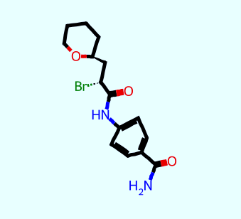 NC(=O)c1ccc(NC(=O)[C@H](Br)C[C@@H]2CCCCO2)cc1